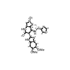 CCn1cc2[nH]c(=O)c(-c3nc4cc(OC)c(OC)cc4[nH]3)c(N[C@H](C)c3cocn3)c2n1